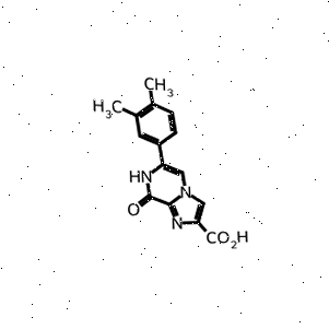 Cc1ccc(-c2cn3cc(C(=O)O)nc3c(=O)[nH]2)cc1C